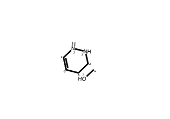 C1=CNNCC1.CO